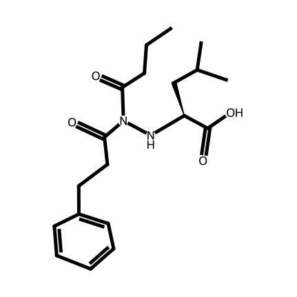 CCCC(=O)N(N[C@@H](CC(C)C)C(=O)O)C(=O)CCc1ccccc1